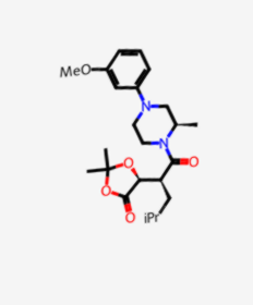 COc1cccc(N2CCN(C(=O)[C@@H](CC(C)C)[C@@H]3OC(C)(C)OC3=O)[C@H](C)C2)c1